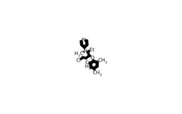 CCC(C(CCCl)Oc1c(C)cc(C)cc1C)N(C)c1ccncc1